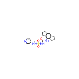 O=C(Nc1c2c(cc3c1CCC3)CCC2)NS(=O)(=O)NCc1ccncc1